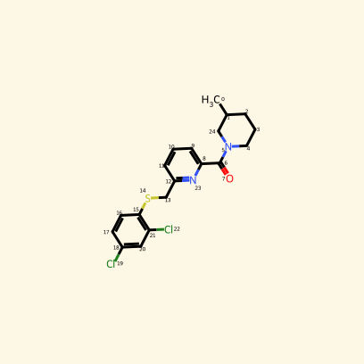 CC1CCCN(C(=O)c2cccc(CSc3ccc(Cl)cc3Cl)n2)C1